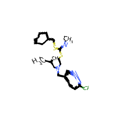 CN=C(SCCN(Cc1ccc(Cl)nc1)CC(C)C)SCC1CCCCC1